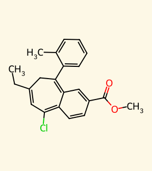 CCC1=CC(Cl)=c2ccc(C(=O)OC)cc2=C(c2ccccc2C)C1